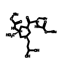 CC(C)C[C@H](NC(=O)OC(C)(C)C)C(=O)N1C[C@@H](CCB(O)O)C[C@](NC(=O)OC(C)(C)C)(C(=O)O)C1